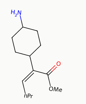 CCCC=C(C(=O)OC)C1CCC(N)CC1